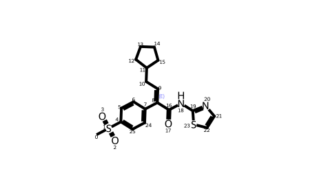 CS(=O)(=O)c1ccc(/C(=C\CC2CCCC2)C(=O)Nc2nccs2)cc1